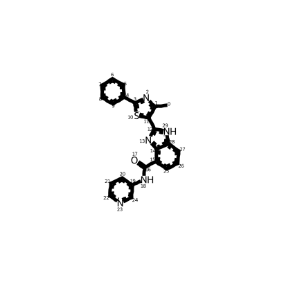 Cc1nc(-c2ccccc2)sc1-c1nc2c(C(=O)Nc3cccnc3)cccc2[nH]1